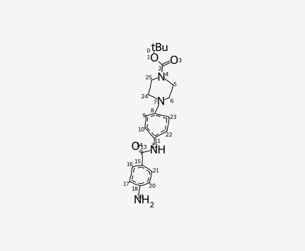 CC(C)(C)OC(=O)N1CCN(c2ccc(NC(=O)c3ccc(N)cc3)cc2)CC1